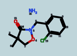 CC1(C)CON(Cc2ccccc2Cl)C1=O.N